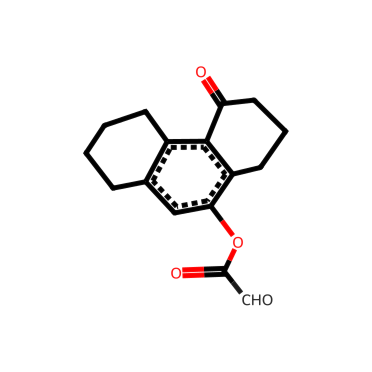 O=CC(=O)Oc1cc2c(c3c1CCCC3=O)CCCC2